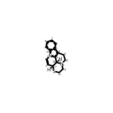 C1=Cn2c3c(c4ccccc42)CCN2CCS[C@H]1[C@H]32